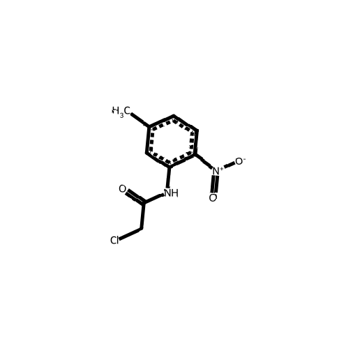 Cc1ccc([N+](=O)[O-])c(NC(=O)CCl)c1